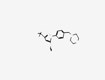 CC(C)(C)c1cc(N[C]=O)n(-c2ccc(CN3CCOCC3)cc2)n1